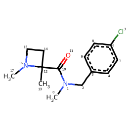 CN(Cc1ccc(Cl)cc1)C(=O)C1(C)CCN1C